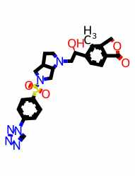 Cc1c([C@@H](O)CN2CCC3CN(S(=O)(=O)c4ccc(-n5cnnn5)cc4)CC32)ccc2c1COC2=O